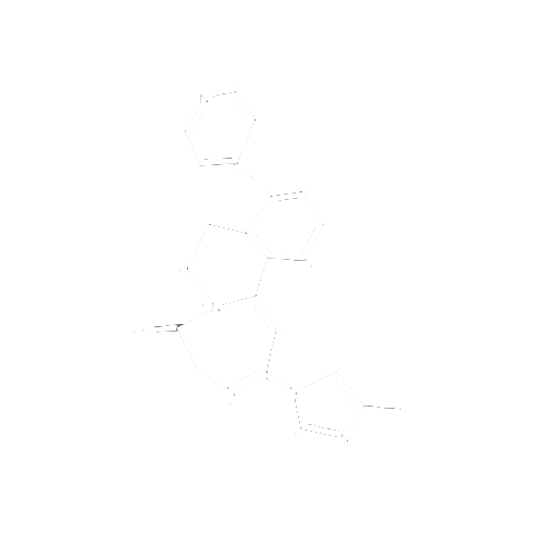 Cc1cn(C2=NCC(=O)N3CCc4c(cccc4-c4ccncc4)C3=C2)cn1